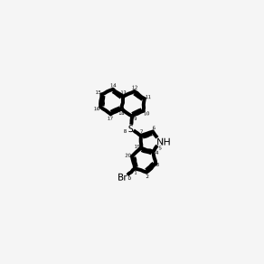 Brc1ccc2[nH]cc(Sc3cccc4ccccc34)c2c1